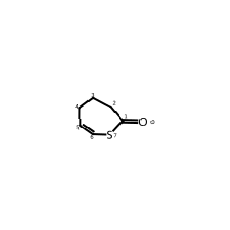 O=C1CCCC=CS1